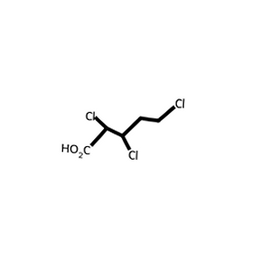 O=C(O)C(Cl)C(Cl)CCCl